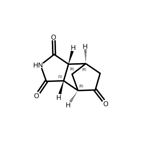 O=C1NC(=O)[C@@H]2[C@H]1[C@H]1CC(=O)[C@@H]2C1